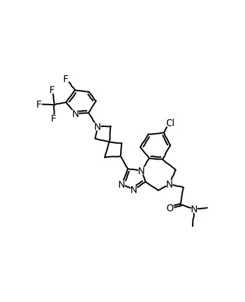 CN(C)C(=O)CN1Cc2cc(Cl)ccc2-n2c(nnc2C2CC3(C2)CN(c2ccc(F)c(C(F)(F)F)n2)C3)C1